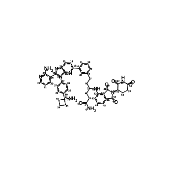 NC(=O)CCC(CCc1cccc(-c2ccc3nc(-c4cccnc4N)n(-c4ccc(C5(N)CCC5)cc4)c3n2)c1)Nc1cccc2c1C(=O)N(C1CCC(=O)NC1=O)C2=O